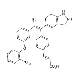 CC/C(=C(\C1=CC2=C(CC1)NNC2)c1ccc(/C=C/C(=O)O)cc1)c1cccc(Oc2ccncc2C(F)(F)F)c1